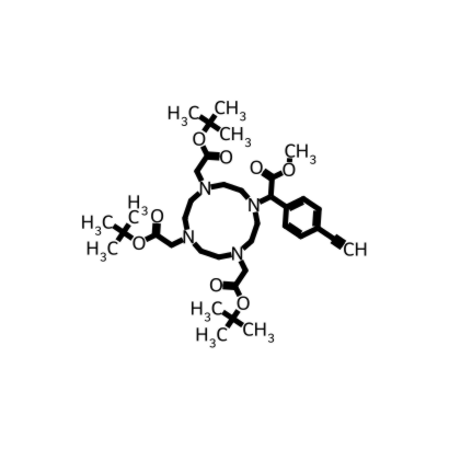 C#Cc1ccc(C(C(=O)OC)N2CCN(CC(=O)OC(C)(C)C)CCN(CC(=O)OC(C)(C)C)CCN(CC(=O)OC(C)(C)C)CC2)cc1